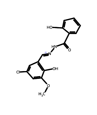 COc1cc(Cl)cc(/C=N/NC(=O)c2ccccc2O)c1O